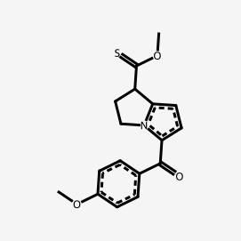 COC(=S)C1CCn2c(C(=O)c3ccc(OC)cc3)ccc21